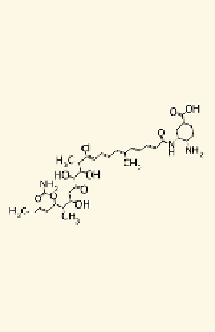 CC/C=C/[C@@H](OC(N)=O)[C@@H](C)[C@H](O)CC(=O)[C@@H](O)[C@H](O)[C@H](C)/C(Cl)=C/C=C/C=C(C)/C=C/C=C/C(=O)N[C@@H]1C[C@@H](C(=O)O)CC[C@@H]1N